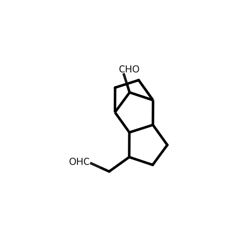 O=CCC1CCC2C3CCC(C3C=O)C12